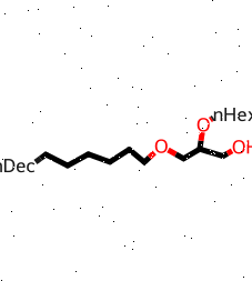 CCCCCCCCCCCCCCCCOCC(CO)OCCCCCC